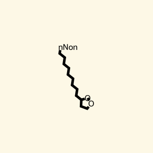 CCCCCCCCCCCCCCCCCCC1CCOO1